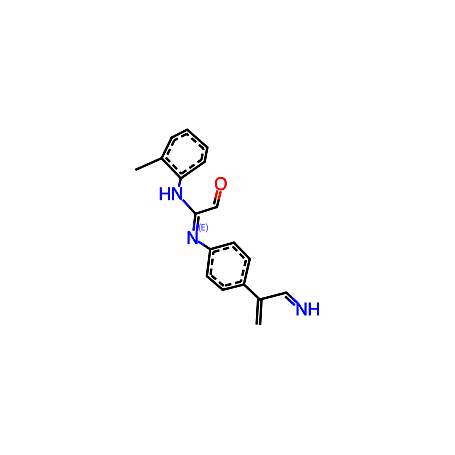 C=C(C=N)c1ccc(/N=C(\C=O)Nc2ccccc2C)cc1